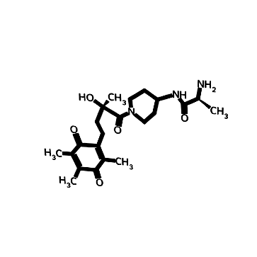 CC1=C(C)C(=O)C(CC[C@](C)(O)C(=O)N2CCC(NC(=O)[C@H](C)N)CC2)=C(C)C1=O